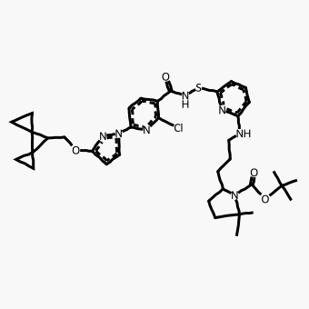 CC(C)(C)OC(=O)N1C(CCCNc2cccc(SNC(=O)c3ccc(-n4ccc(OCC5C6(CC6)C56CC6)n4)nc3Cl)n2)CCC1(C)C